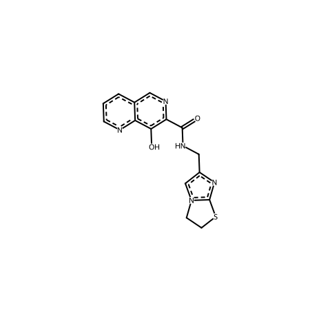 O=C(NCc1cn2c(n1)SCC2)c1ncc2cccnc2c1O